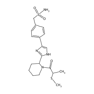 CSC(C)C(=O)N1CCCCC1c1nc(-c2ccc(CS(N)(=O)=O)cc2)c[nH]1